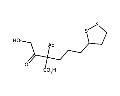 CC(=O)C(CCCC1CCSS1)(C(=O)O)C(=O)CO